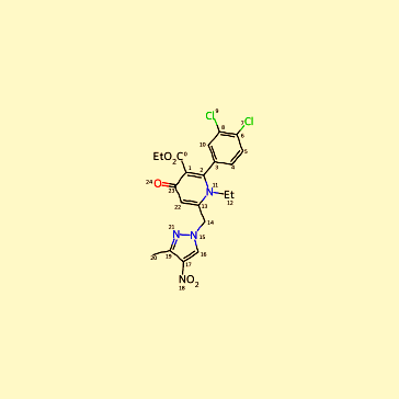 CCOC(=O)c1c(-c2ccc(Cl)c(Cl)c2)n(CC)c(Cn2cc([N+](=O)[O-])c(C)n2)cc1=O